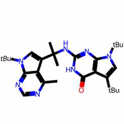 Cc1ncnc2c1c(C(C)(C)Nc1nc3c(c(C(C)(C)C)cn3C(C)(C)C)c(=O)[nH]1)cn2C(C)(C)C